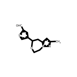 Cc1cc2n(n1)CCOC(c1csc(C=O)c1)C2